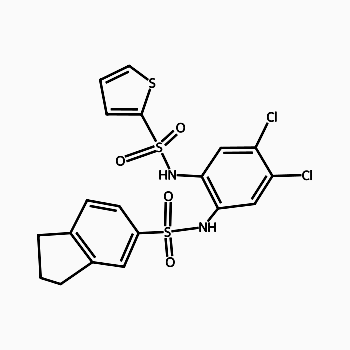 O=S(=O)(Nc1cc(Cl)c(Cl)cc1NS(=O)(=O)c1cccs1)c1ccc2c(c1)CCC2